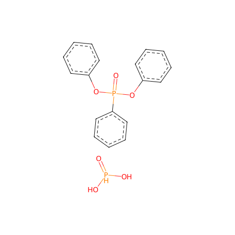 O=P(Oc1ccccc1)(Oc1ccccc1)c1ccccc1.O=[PH](O)O